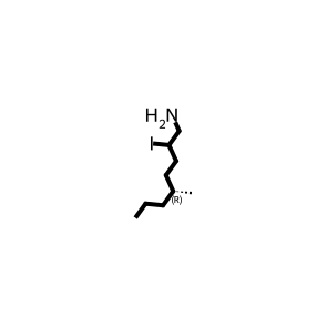 CCC[C@@H](C)CCC(I)CN